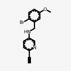 C#Cc1ccc(NCc2cc(OC)ccc2Br)cn1